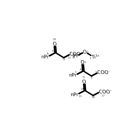 CC(C)[O][Ti+3].CCCC(=O)CC(=O)[O-].CCCC(=O)CC(=O)[O-].CCCC(=O)CC(=O)[O-]